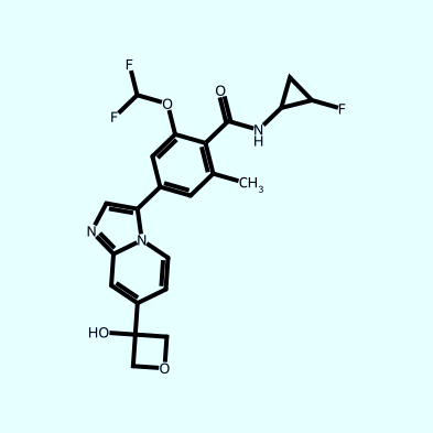 Cc1cc(-c2cnc3cc(C4(O)COC4)ccn23)cc(OC(F)F)c1C(=O)NC1CC1F